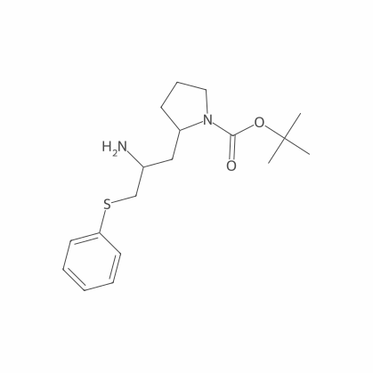 CC(C)(C)OC(=O)N1CCCC1CC(N)CSc1ccccc1